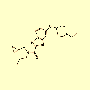 CCCN(CC1CC1)C(=O)c1cc2cc(OC3CCN(C(C)C)CC3)ccc2[nH]1